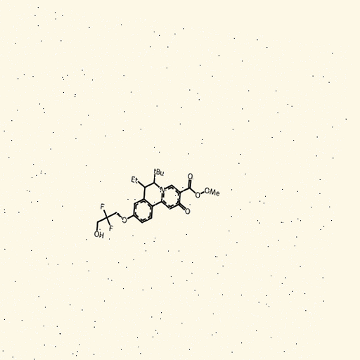 CCC1c2cc(OCC(F)(F)CO)ccc2-c2cc(=O)c(C(=O)OOC)cn2C1C(C)(C)C